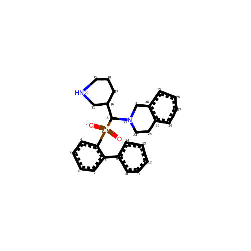 O=S(=O)(c1ccccc1-c1ccccc1)C(C1CCCNC1)N1CCc2ccccc2C1